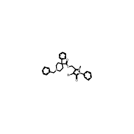 Cn1c(COC(=O)C2(c3ccccc3)CCN(Cc3ccccc3)CC2)c(Br)c(=O)n1-c1ccccc1